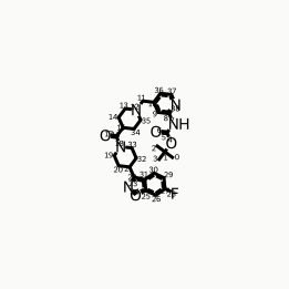 CC(C)(C)OC(=O)Nc1cc(CN2CCC(C(=O)N3CCC(c4noc5cc(F)ccc45)CC3)CC2)ccn1